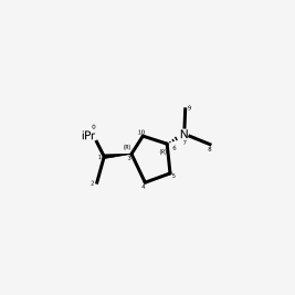 CC(C)C(C)[C@@H]1CC[C@@H](N(C)C)C1